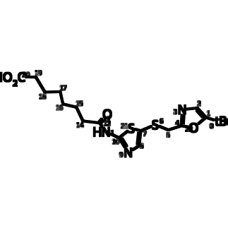 CC(C)(C)c1cnc(CSc2cnc(NC(=O)CCCCCCC(=O)O)s2)o1